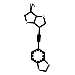 NC1COC2C(C#Cc3ccc4c(c3)OCO4)COC12